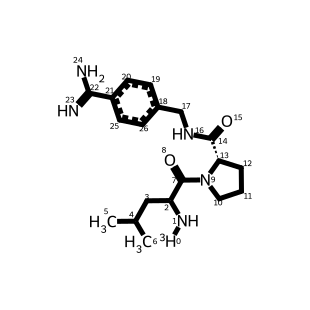 [3H]NC(CC(C)C)C(=O)N1CCC[C@H]1C(=O)NCc1ccc(C(=N)N)cc1